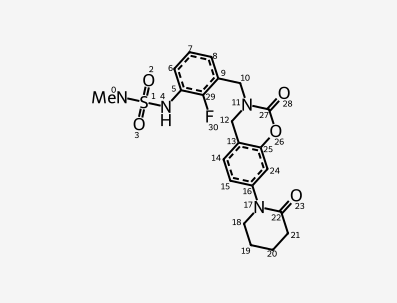 CNS(=O)(=O)Nc1cccc(CN2Cc3ccc(N4CCCCC4=O)cc3OC2=O)c1F